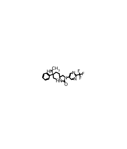 CN[C@]1(c2ccccc2)CC[C@]2(CC1)CN(c1cnc(C(F)(F)F)nc1)C(=O)N2